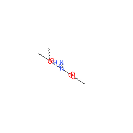 CCCCCCCCCOC(=O)OCCCCCCN(CCCN)CCCCCCCC(=O)OC(CCCCCCCC)CCCCCCCC